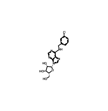 OC[C@H]1O[C@@H](n2cnc3c(NCc4cccc(Cl)c4)ncnc32)[C@@H](O)[C@@H]1O